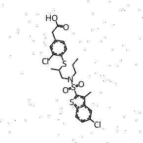 CCCN(CC(C)Sc1ccc(CC(=O)O)cc1Cl)S(=O)(=O)c1sc2ccc(Cl)cc2c1C